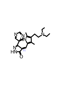 CCN(CC)CCc1c(C)[nH]c(/C=C2/C(=O)NN=C2c2cncnc2)c1C